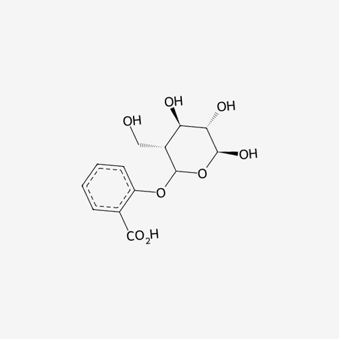 O=C(O)c1ccccc1OC1O[C@H](O)[C@@H](O)[C@H](O)[C@H]1CO